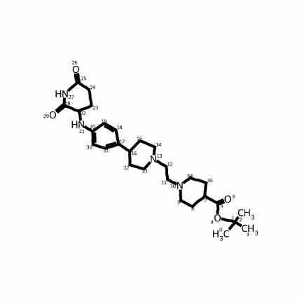 CC(C)(C)OC(=O)C1CCN(CCN2CCC(c3ccc(NC4CCC(=O)NC4=O)cc3)CC2)CC1